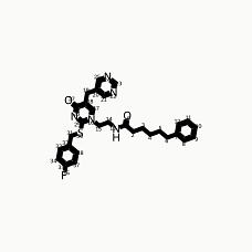 O=C(CCCCCc1ccccc1)NCCn1cc(Cc2cncnc2)c(=O)nc1SCc1ccc(F)cc1